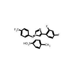 Cc1ccc(S(=O)(=O)O)cc1.Fc1ccc(C2=CS(=Nc3ccc(C(F)(F)F)cc3)C=N2)c(F)c1